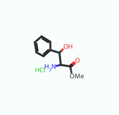 COC(=O)C(N)C(O)c1ccccc1.Cl